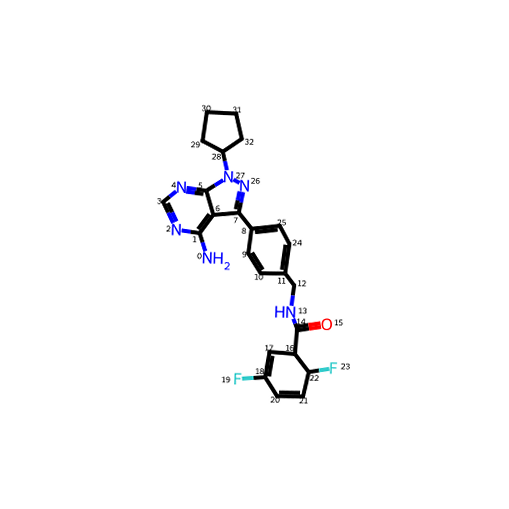 Nc1ncnc2c1c(-c1ccc(CNC(=O)C3C=C(F)C=CC3F)cc1)nn2C1CCCC1